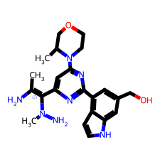 C/C(N)=C(\c1cc(N2CCOCC2C)nc(-c2cc(CO)cc3[nH]ccc23)n1)N(C)N